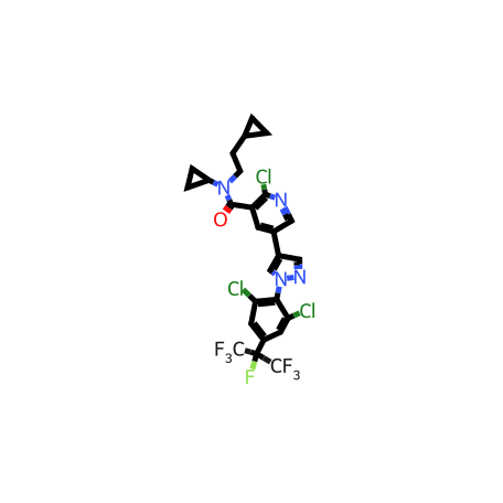 O=C(c1cc(-c2cnn(-c3c(Cl)cc(C(F)(C(F)(F)F)C(F)(F)F)cc3Cl)c2)cnc1Cl)N(CCC1CC1)C1CC1